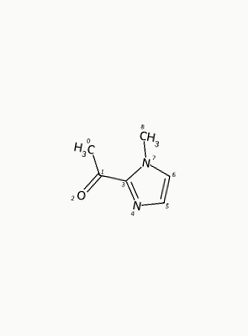 CC(=O)c1n[c]cn1C